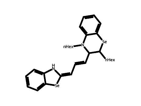 CCCCCCC1[Se]c2ccccc2N(CCCCCC)C1C=CC=C1Nc2ccccc2[Se]1